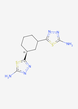 Nc1nnc(C2CCC[C@H](c3nnc(N)s3)C2)s1